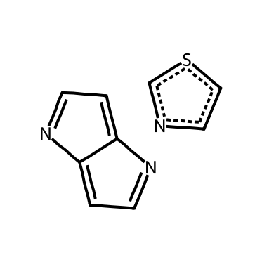 C1=NC2=CC=NC2=C1.c1cscn1